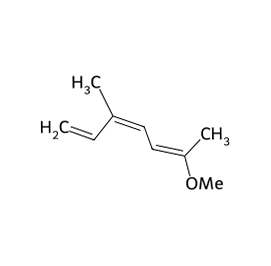 C=C/C(C)=C\C=C(/C)OC